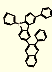 c1ccc(-c2ccc3c(c2)c2cc(-c4cc5ccccc5cc4-c4ccccc4)ccc2p3-c2ccccc2)cc1